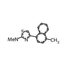 CNc1nc(-c2ccc(C)c3ccccc23)cs1